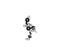 Cn1ncc(Br)c1-c1cc(NC(=O)Cc2ccc(Cl)cc2)ccc1OCCN1CC(O)C1